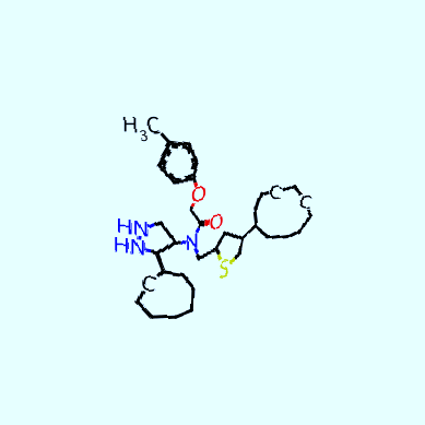 Cc1ccc(OCC(=O)N(CC2CC(C3CCCCCCCCC3)CS2)C2CNNC2C2CCCCCCC2)cc1